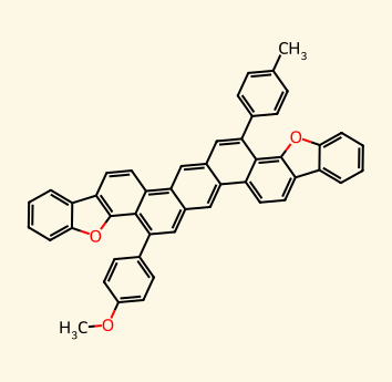 COc1ccc(-c2cc3cc4c(cc(-c5ccc(C)cc5)c5c4ccc4c6ccccc6oc45)cc3c3ccc4c5ccccc5oc4c23)cc1